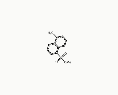 COS(=O)(=O)c1cccc2c(C)cccc12